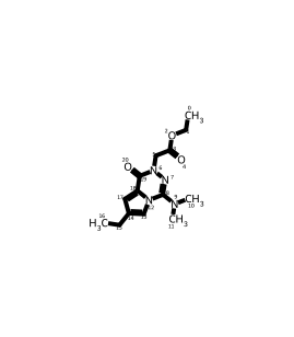 CCOC(=O)Cn1nc(N(C)C)n2cc(CC)cc2c1=O